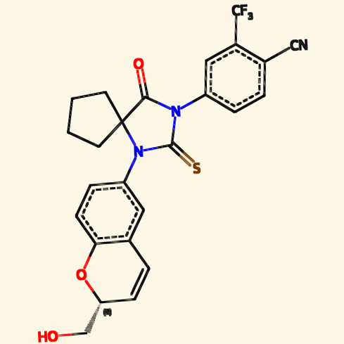 N#Cc1ccc(N2C(=O)C3(CCCC3)N(c3ccc4c(c3)C=C[C@H](CO)O4)C2=S)cc1C(F)(F)F